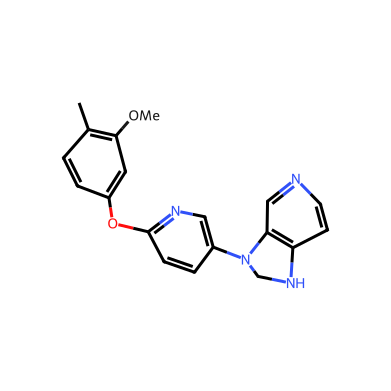 COc1cc(Oc2ccc(N3CNc4ccncc43)cn2)ccc1C